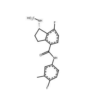 Cc1cc(NC(=O)c2ccc(F)c3c2CC[C@@H]3NC(=O)O)ccc1F